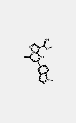 COC(=N)c1cnn2c(=O)cc(-c3ccc4c(cnn4C)c3)[nH]c12